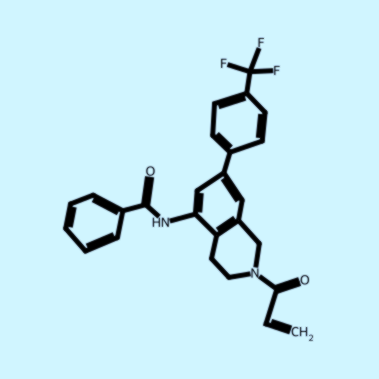 C=CC(=O)N1CCc2c(cc(-c3ccc(C(F)(F)F)cc3)cc2NC(=O)c2ccccc2)C1